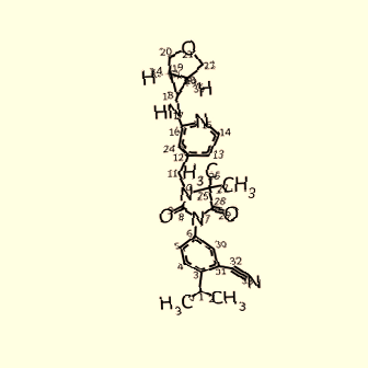 CC(C)c1ccc(N2C(=O)N(Cc3ccnc(NC4[C@H]5COC[C@@H]45)c3)C(C)(C)C2=O)cc1C#N